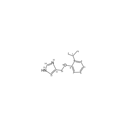 CC(C)c1ccccc1OCc1c[nH]cn1